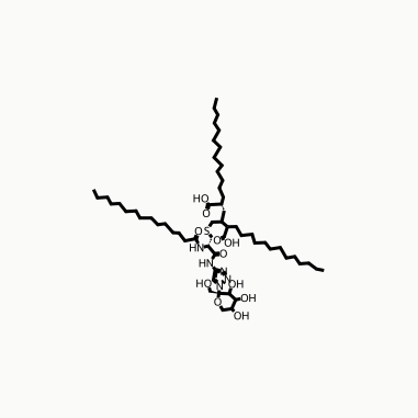 CCCCCCCCCCCCCCC(=O)N[C@H](CSCC(C[C@@H](CCCCCCCCCCCCC)C(=O)O)C(CCCCCCCCCCCCC)C(=O)O)C(=O)Nc1cn([C@@]2(CO)OCC(O)C(O)C2O)nn1